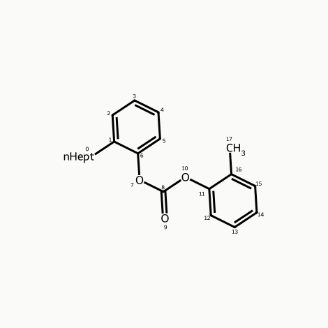 CCCCCCCc1ccccc1OC(=O)Oc1ccccc1C